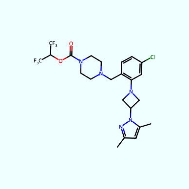 Cc1cc(C)n(C2CN(c3cc(Cl)ccc3CN3CCN(C(=O)OC(C(F)(F)F)C(F)(F)F)CC3)C2)n1